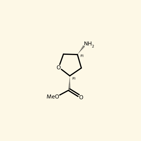 COC(=O)[C@H]1C[C@@H](N)CO1